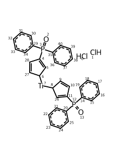 Cl.Cl.O=P(C1=C[CH]([Ti][CH]2C=CC(P(=O)(c3ccccc3)c3ccccc3)=C2)C=C1)(c1ccccc1)c1ccccc1